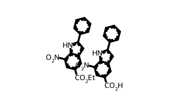 CCOC(=O)c1cc([N+](=O)[O-])c2[nH]c(-c3ccccc3)cc2c1.O=C(O)c1cc([N+](=O)[O-])c2[nH]c(-c3ccccc3)cc2c1